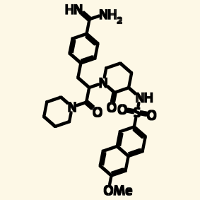 COc1ccc2cc(S(=O)(=O)NC3CCCN(C(Cc4ccc(C(=N)N)cc4)C(=O)N4CCCCC4)C3=O)ccc2c1